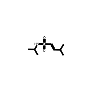 CC(C)/C=C/S(=O)(=O)NC(C)C